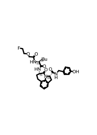 CC[C@H](C)[C@H](NC(=O)COCCF)C(=O)N[C@H]1CCc2cccc3c2N(C1=O)[C@H](C(=O)NCc1ccc(O)cc1)C3